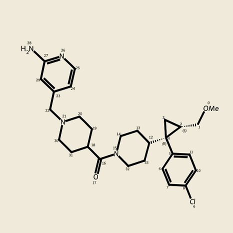 COC[C@H]1C[C@@]1(c1ccc(Cl)cc1)C1CCN(C(=O)C2CCN(Cc3ccnc(N)c3)CC2)CC1